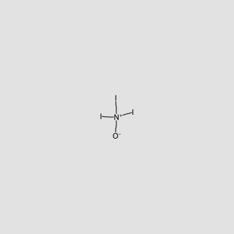 [O-][N+](I)(I)I